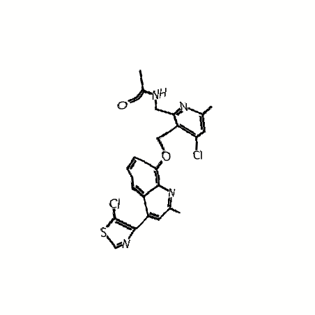 CC(=O)NCc1nc(C)cc(Cl)c1COc1cccc2c(-c3ncsc3Cl)cc(C)nc12